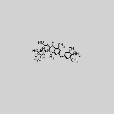 Cc1cc(Cc2cc(C)c(Nc3nc(O)nc(NC(C)S(=O)(=O)O)n3)c(C)c2)cc(C)c1N